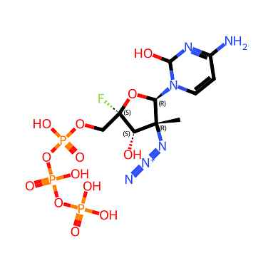 C[C@]1(N=[N+]=[N-])[C@H](N2C=CC(N)=NC2O)O[C@](F)(COP(=O)(O)OP(=O)(O)OP(=O)(O)O)[C@H]1O